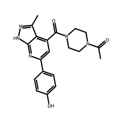 CC(=O)N1CCN(C(=O)c2cc(-c3ccc(O)cc3)nc3[nH]nc(C)c23)CC1